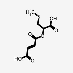 CSCC(OC(=O)/C=C/C(=O)O)C(=O)O